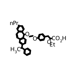 CCCc1ccc2c(c1)C=Cc1cc(C(C)c3ccccc3)ccc1C2OCCOc1ccc(CC(OCC)C(=O)O)cc1